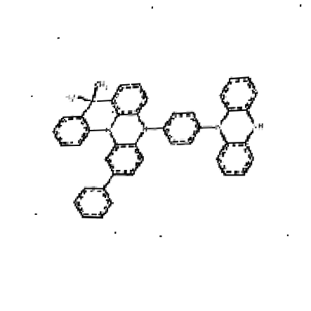 CC1(C)c2ccccc2N2c3cc(-c4ccccc4)ccc3N(c3ccc(N4c5ccccc5Nc5ccccc54)cc3)c3cccc1c32